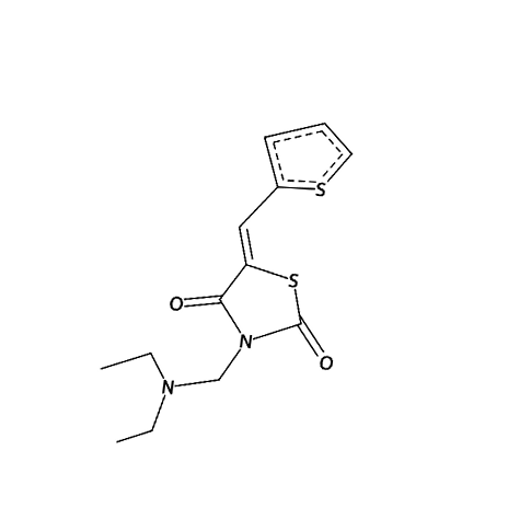 CCN(CC)CN1C(=O)SC(=Cc2cccs2)C1=O